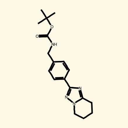 CC(C)(C)OC(=O)NCc1ccc(-c2nc3n(n2)CCCC3)cc1